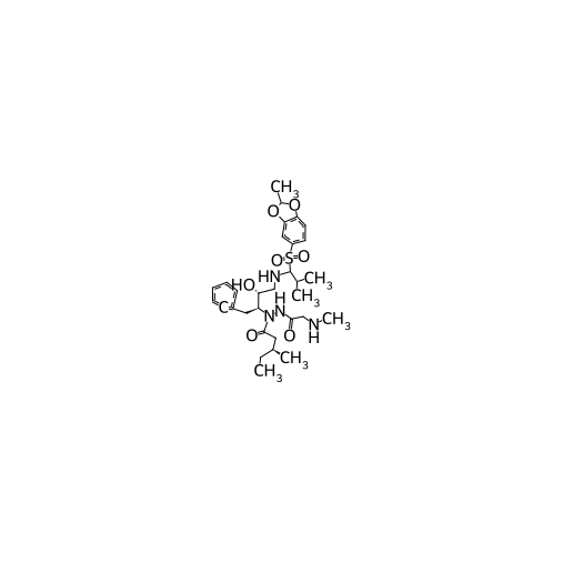 CC[C@H](C)CC(=O)N(NC(=O)CNC)[C@@H](Cc1ccccc1)[C@H](O)CNC(C(C)C)S(=O)(=O)c1ccc2c(c1)OC(C)O2